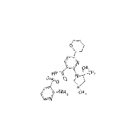 C[C@@H]1CN(c2nc(C3CCCCO3)ccc2C(=O)NS(=O)(=O)c2cccnc2N)C(C)(C)C1